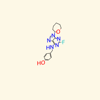 Oc1ccc(CNc2nc(F)nc3c2ncn3C2CCCCCO2)cc1